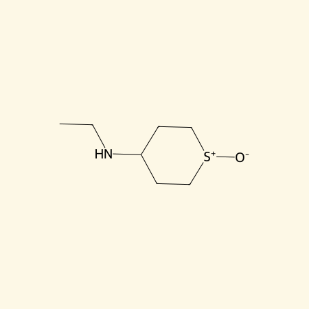 CCNC1CC[S+]([O-])CC1